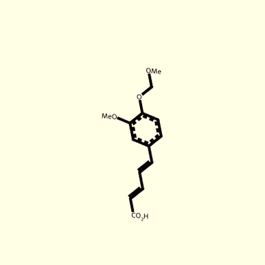 COCOc1ccc(C=CC=CC(=O)O)cc1OC